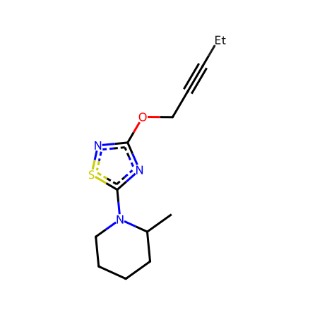 CCC#CCOc1nsc(N2CCCCC2C)n1